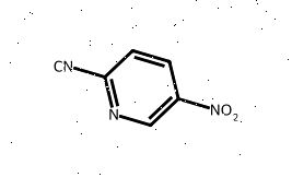 [C-]#[N+]c1ccc([N+](=O)[O-])cn1